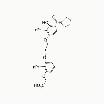 CCCc1c(OCCCOc2ccc(C(=O)N3CCCC3)c(O)c2CCC)cccc1OCC(=O)O